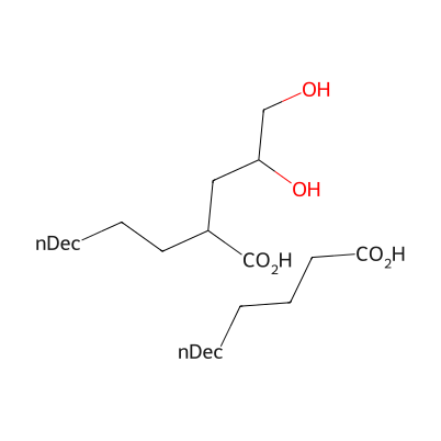 CCCCCCCCCCCCC(CC(O)CO)C(=O)O.CCCCCCCCCCCCCC(=O)O